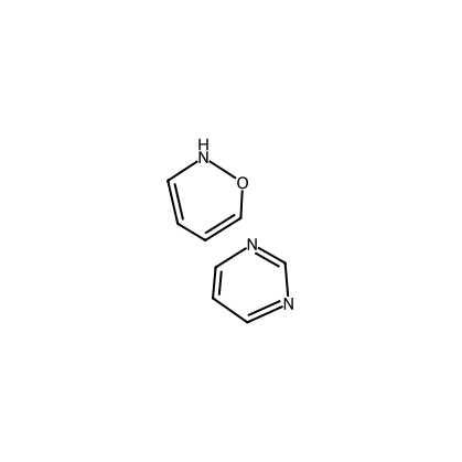 C1=CNOC=C1.c1cncnc1